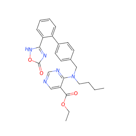 CCCCN(Cc1ccc(-c2ccccc2-c2nc(=O)o[nH]2)cc1)c1ncncc1C(=O)OCC